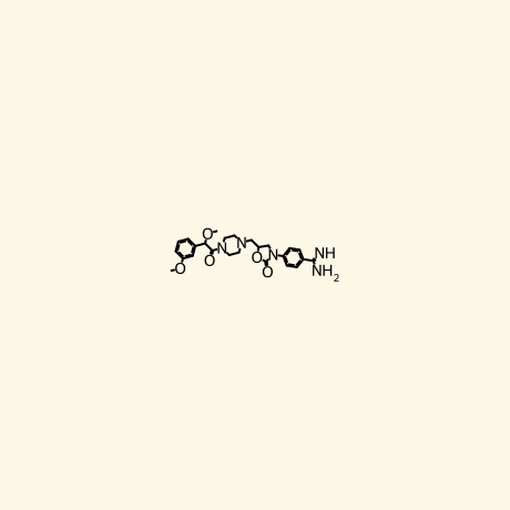 COc1cccc(C(OC)C(=O)N2CCN(CC3CN(c4ccc(C(=N)N)cc4)C(=O)O3)CC2)c1